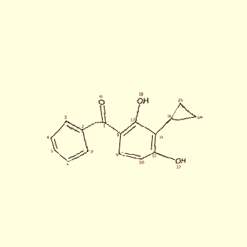 O=C(c1ccccc1)c1ccc(O)c(C2CC2)c1O